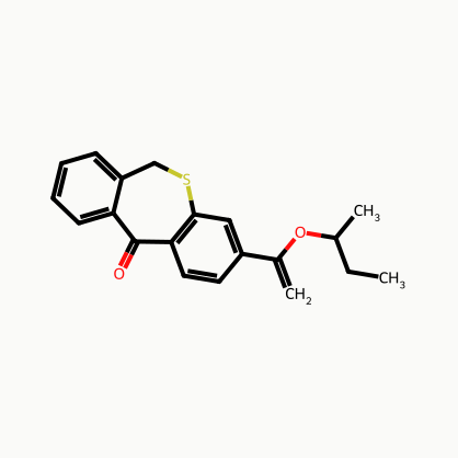 C=C(OC(C)CC)c1ccc2c(c1)SCc1ccccc1C2=O